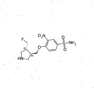 NS(=O)(=O)c1ccc(OC[C@H]2CNC[C@@H]2CF)c([N+](=O)[O-])c1